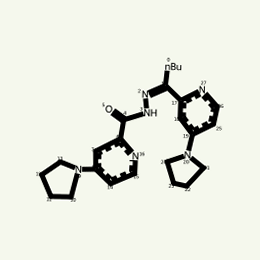 CCCC/C(=N/NC(=O)c1cc(N2CCCC2)ccn1)c1cc(N2CCCC2)ccn1